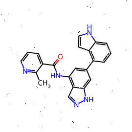 Cc1ncccc1C(=O)Nc1cc(-c2cccc3[nH]ccc23)cc2[nH]ncc12